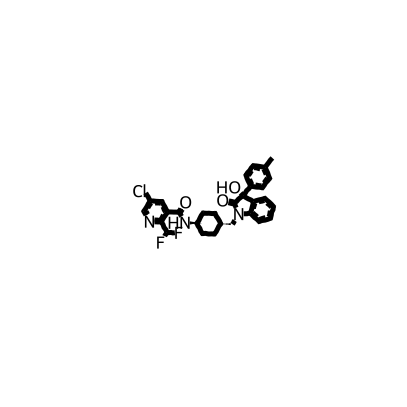 Cc1ccc(C2(O)C(=O)N(C[C@H]3CC[C@H](NC(=O)c4cc(Cl)cnc4C(F)F)CC3)c3ccccc32)cc1